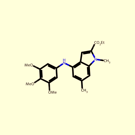 CCOC(=O)c1cc2c(Nc3cc(OC)c(OC)c(OC)c3)cc(C)cc2n1C